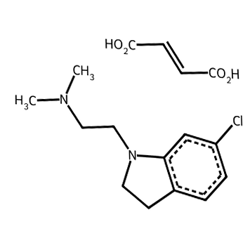 CN(C)CCN1CCc2ccc(Cl)cc21.O=C(O)C=CC(=O)O